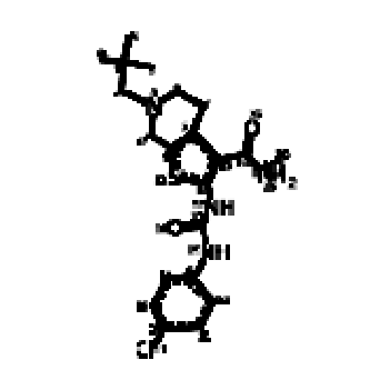 CC(C)(C)CN1CCc2c(sc(NC(=O)Nc3ccc(Cl)cc3)c2C(N)=O)C1.Cl